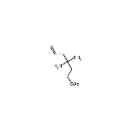 C=CCC(N)(N)CCOC(C)=O